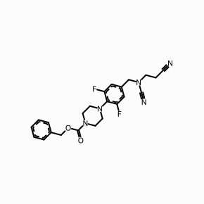 N#CCCN(C#N)Cc1cc(F)c(N2CCN(C(=O)OCc3ccccc3)CC2)c(F)c1